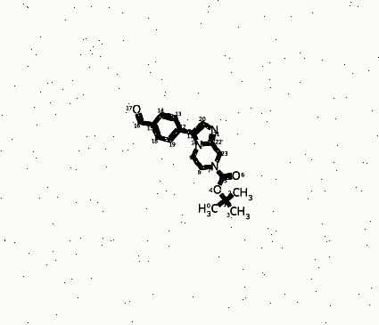 CC(C)(C)OC(=O)N1CCn2c(-c3ccc(C=O)cc3)cnc2C1